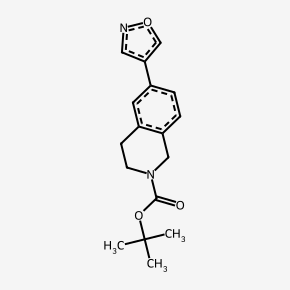 CC(C)(C)OC(=O)N1CCc2cc(-c3cnoc3)ccc2C1